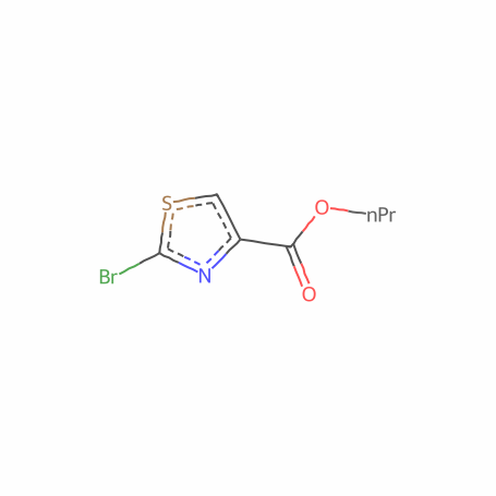 CCCOC(=O)c1csc(Br)n1